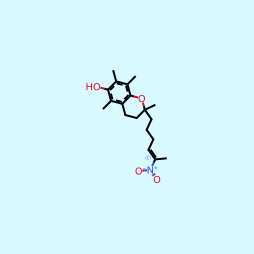 C/C(=C\CCCC1(C)CCc2c(C)c(O)c(C)c(C)c2O1)[N+](=O)[O-]